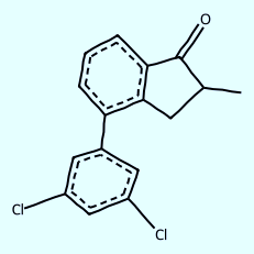 CC1Cc2c(cccc2-c2cc(Cl)cc(Cl)c2)C1=O